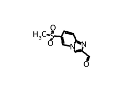 CS(=O)(=O)c1ccc2nc(C=O)cn2c1